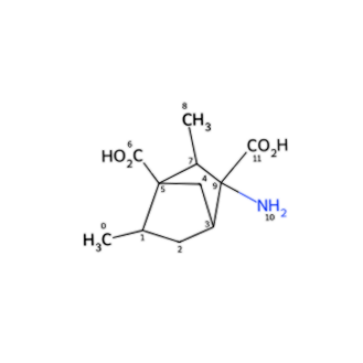 CC1CC2CC1(C(=O)O)C(C)C2(N)C(=O)O